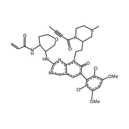 C=CC(=O)NC1CCOCC1Nc1ncc2cc(-c3c(Cl)c(OC)cc(OC)c3Cl)c(=O)n(CCC3CN(C)CCN3C(=O)C#CC)c2n1